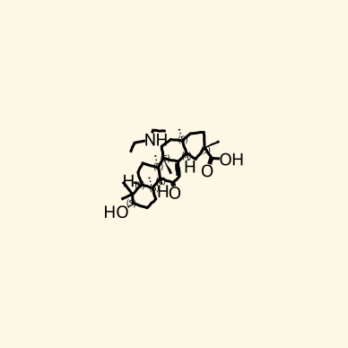 CC1(C)[C@@H](O)CC[C@]2(C)[C@H]3C(=O)C=C4[C@@H]5C[C@@](C)(C(=O)O)CC[C@]5(C)CC[C@@]4(C)[C@]3(C)CC[C@@H]12.CCNCC